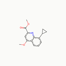 COC(=O)c1cc(OC)c2cccc(C3CC3)c2n1